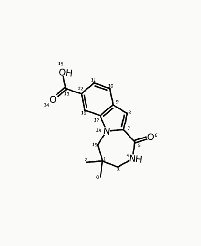 CC1(C)CNC(=O)c2cc3ccc(C(=O)O)cc3n2C1